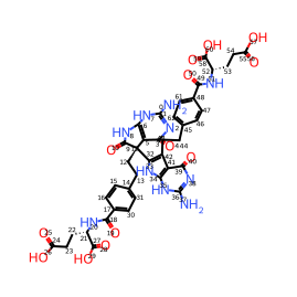 Nc1nc(=O)c2c([nH]1)NC(=O)[C@@]2(CCc1ccc(C(=O)N[C@@H](CCC(=O)O)C(=O)O)cc1)c1[nH]c2[nH]c(N)nc(=O)c2c1CCc1ccc(C(=O)N[C@@H](CCC(=O)O)C(=O)O)cc1